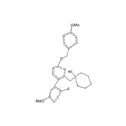 COc1ccc(COc2ccc(-c3cc(OC)ccc3F)c(CC3(C#N)CCCCC3)c2)cc1